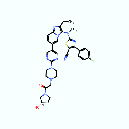 CCc1nc2ccc(-c3cnc(N4CCN(CC(=O)N5CC[C@H](O)C5)CC4)nc3)cn2c1N(C)c1nc(-c2ccc(F)cc2)c(C#N)s1